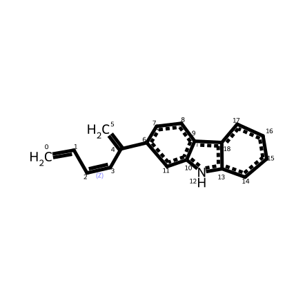 C=C/C=C\C(=C)c1ccc2c(c1)[nH]c1ccccc12